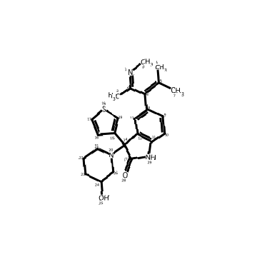 C/N=C(/C)C(=C(C)C)c1ccc2c(c1)C(c1ccsc1)(N1CCCC(O)C1)C(=O)N2